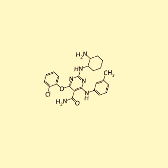 Cc1cccc(Nc2nc(NC3CCCCC3N)nc(Oc3ccccc3Cl)c2C(N)=O)c1